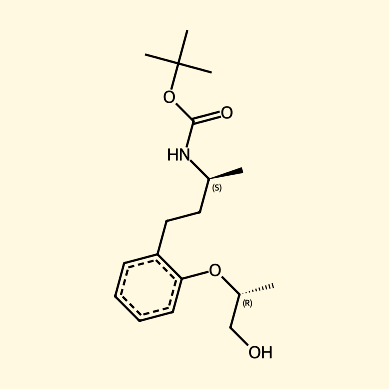 C[C@H](CO)Oc1ccccc1CC[C@H](C)NC(=O)OC(C)(C)C